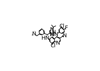 CC(C)n1cc([C@@H](Nc2cc(Cl)c3ncc(C#N)c(Nc4ccc(F)c(Cl)c4)c3c2)c2cccc(CN(C)C)c2)nn1